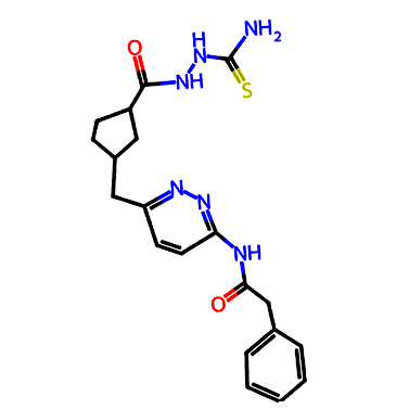 NC(=S)NNC(=O)C1CCC(Cc2ccc(NC(=O)Cc3ccccc3)nn2)C1